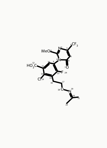 COc1nc(C(F)(F)F)cc(=O)n1-c1cc(C(=O)O)c(Cl)c(CCON=C(C)C)c1F